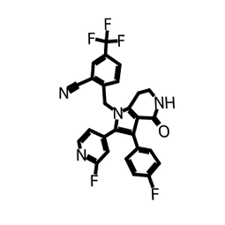 N#Cc1cc(C(F)(F)F)ccc1Cn1c2c(c(-c3ccc(F)cc3)c1-c1ccnc(F)c1)C(=O)NCC2